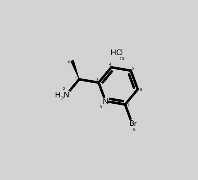 C[C@H](N)c1cccc(Br)n1.Cl